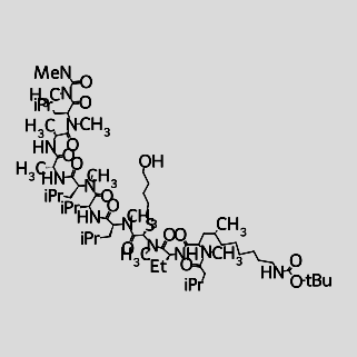 CC[C@H](NC(=O)C(C[C@H](C)CCCCCCNC(=O)OC(C)(C)C)N(C)C(=O)CC(C)C)C(=O)N(C)[C@H](SCCCCCO)C(=O)N(C)[C@@H](CC(C)C)C(=O)N[C@H](C(=O)N(C)[C@@H](CC(C)C)C(=O)N[C@H](C)C(=O)N[C@@H](C)C(=O)N(C)[C@@H](CC(C)C)C(=O)N(C)C(=O)NC)C(C)C